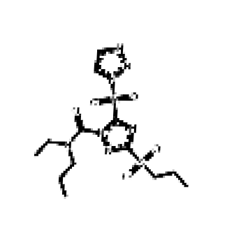 CCCN(CC)C(=O)n1nc(S(=O)(=O)CCC)nc1S(=O)(=O)n1ccnn1